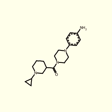 Nc1ccc(N2CCN(C(=O)C3CCCN(C4CC4)C3)CC2)cc1